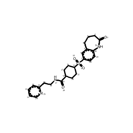 O=C1CCCc2cc(S(=O)(=O)C3CCC(C(=O)NCCc4ccccn4)CC3)ccc2N1